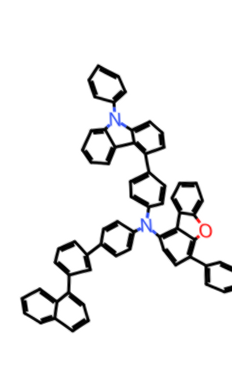 c1ccc(-c2ccc(N(c3ccc(-c4cccc(-c5cccc6ccccc56)c4)cc3)c3ccc(-c4cccc5c4c4ccccc4n5-c4ccccc4)cc3)c3c2oc2ccccc23)cc1